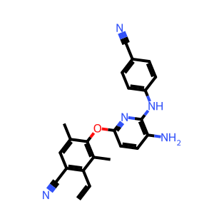 C=Cc1c(C#N)cc(C)c(Oc2ccc(N)c(Nc3ccc(C#N)cc3)n2)c1C